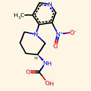 Cc1cncc([N+](=O)[O-])c1N1CCC[C@H](NC(=O)O)C1